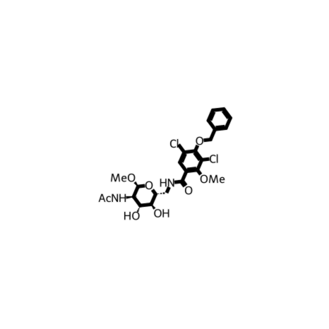 COc1c(C(=O)NC[C@H]2O[C@H](OC)[C@H](NC(C)=O)[C@@H](O)[C@@H]2O)cc(Cl)c(OCc2ccccc2)c1Cl